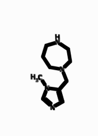 Cn1cncc1CN1CCCNCC1